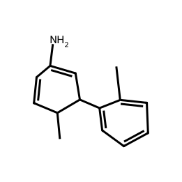 Cc1ccccc1C1C=C(N)C=CC1C